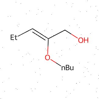 CCC=C(CO)OCCCC